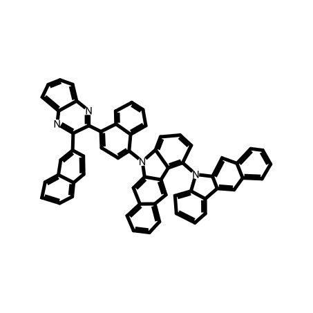 c1ccc2cc(-c3nc4ccccc4nc3-c3ccc(-n4c5cc6ccccc6cc5c5c(-n6c7ccccc7c7cc8ccccc8cc76)cccc54)c4ccccc34)ccc2c1